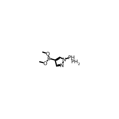 COB(OC)c1cnn(PP)c1